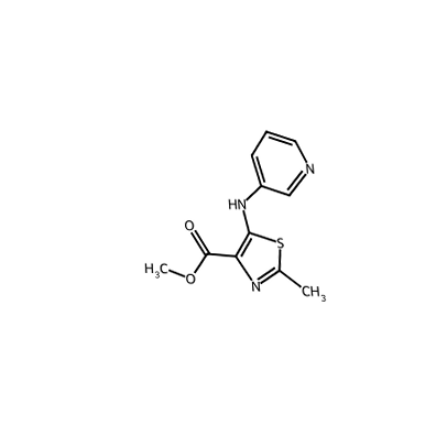 COC(=O)c1nc(C)sc1Nc1cccnc1